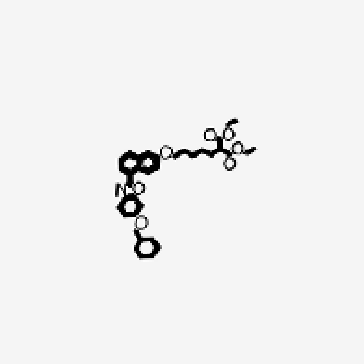 CCOC(=O)C(CCCCCOc1ccc2c(-c3nc4ccc(OCC5CCCCC5)cc4o3)cccc2c1)C(=O)OCC